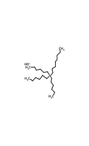 CCCCCCCC[N+](CCCCCC)(CCCCCC)CCCCCC.[OH-]